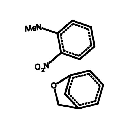 CNc1ccccc1[N+](=O)[O-].c1cc2cc(c1)OC2